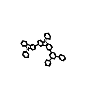 c1ccc(-c2cc(-c3ccccc3)cc(-c3ccc4c(c3)c3cc(-c5ccc6c(c5)c5ccccc5n6-c5ccccc5)ccc3n4-c3ccccc3)c2)cc1